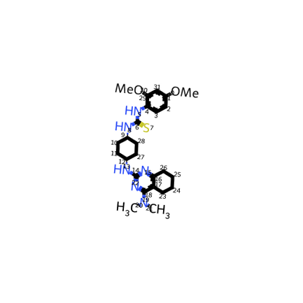 COc1ccc(NC(=S)N[C@H]2CC[C@@H](Nc3nc4c(c(N(C)C)n3)CCCC4)CC2)c(OC)c1